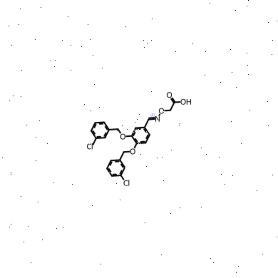 O=C(O)CO/N=C/c1ccc(OCc2cccc(Cl)c2)c(OCc2cccc(Cl)c2)c1